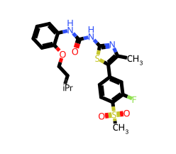 Cc1nc(NC(=O)Nc2ccccc2OCCC(C)C)sc1-c1ccc(S(C)(=O)=O)c(F)c1